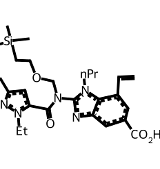 C=Cc1cc(C(=O)O)cc2nc(N(COCC[Si](C)(C)C)C(=O)c3cc(C)nn3CC)n(CCC)c12